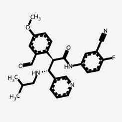 COc1ccc([C@@H](C(=O)Nc2ccc(F)c(C#N)c2)[C@@H](NCC(C)C)c2cccnc2)c(C=O)c1